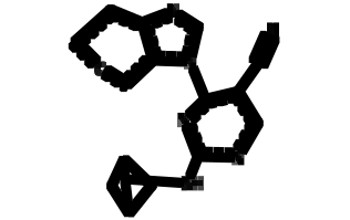 N#Cc1cnc(NC2C3CC2C3)nc1-n1cnc2ccccc21